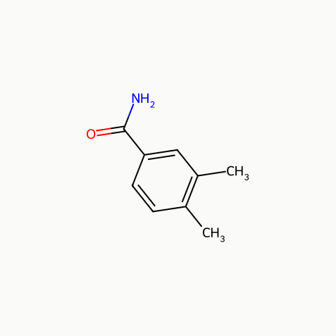 Cc1ccc(C(N)=O)cc1C